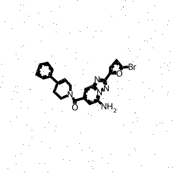 Nc1cc(C(=O)N2CC=C(c3ccccc3)CC2)cc2nc(-c3ccc(Br)o3)nn12